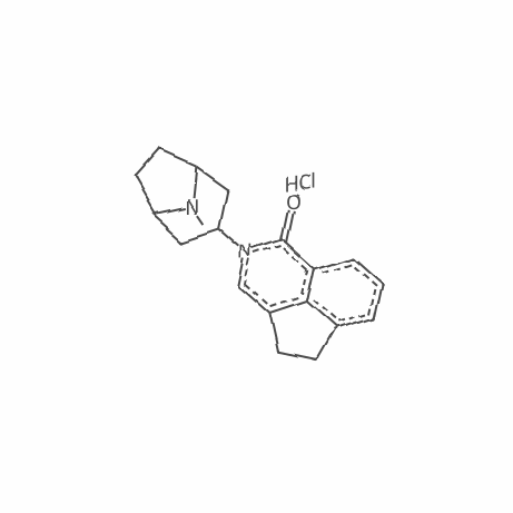 CN1C2CCC1CC(n1cc3c4c(cccc4c1=O)CC3)C2.Cl